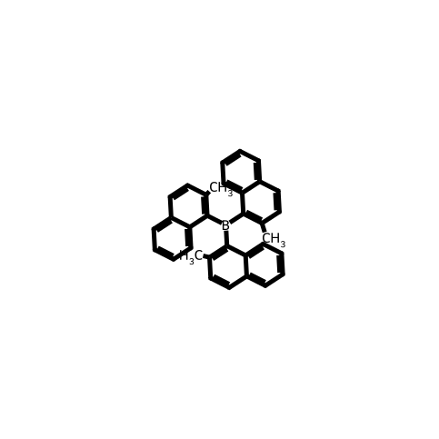 Cc1ccc2ccccc2c1B(c1c(C)ccc2ccccc12)c1c(C)ccc2ccccc12